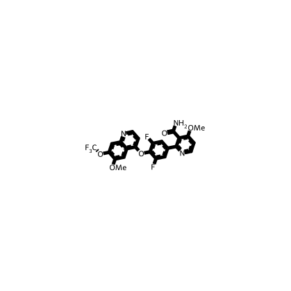 COc1cc2c(Oc3c(F)cc(-c4nccc(OC)c4C(N)=O)cc3F)ccnc2cc1OC(F)(F)F